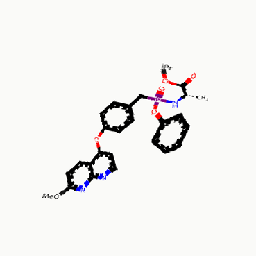 COc1ccc2c(Oc3ccc(CP(=O)(N[C@@H](C)C(=O)OC(C)C)Oc4ccccc4)cc3)ccnc2n1